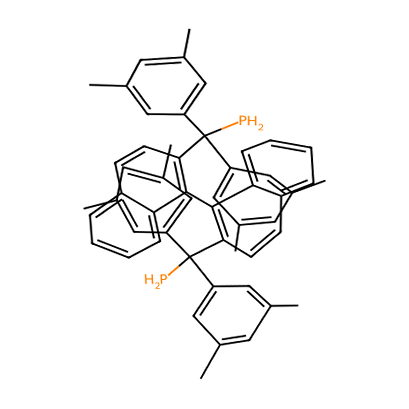 Cc1cc(C)cc(C(P)(c2cc(C)cc(C)c2)c2ccc3ccccc3c2-c2c(C(P)(c3cc(C)cc(C)c3)c3cc(C)cc(C)c3)ccc3ccccc23)c1